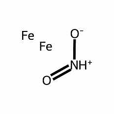 O=[NH+][O-].[Fe].[Fe]